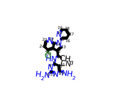 CC(Nc1nc(N)nc(N)c1C#N)c1cn(-c2ccccn2)c2nccc(Cl)c12